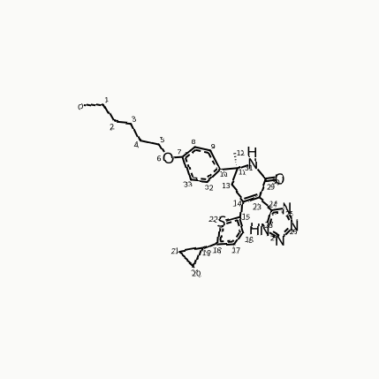 CCCCCCOc1ccc([C@]2(C)CC(c3ccc(C4CC4)s3)=C(c3nnn[nH]3)C(=O)N2)cc1